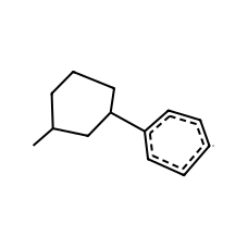 CC1CCCC(c2cc[c]cc2)C1